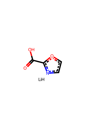 O=C(O)c1ncco1.[LiH]